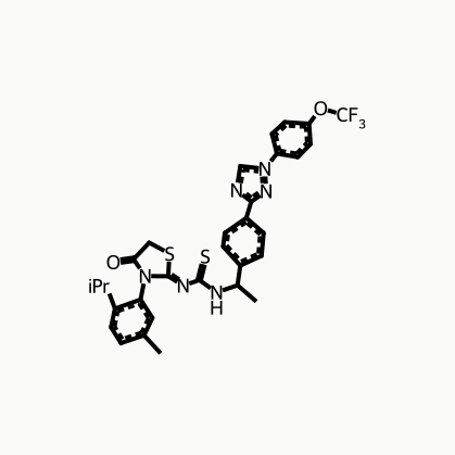 Cc1ccc(C(C)C)c(N2C(=O)CS/C2=N\C(=S)NC(C)c2ccc(-c3ncn(-c4ccc(OC(F)(F)F)cc4)n3)cc2)c1